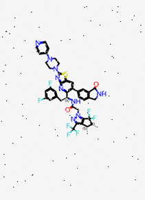 C[C@@H]1c2c(C(F)(F)F)nn(CC(=O)N[C@@H](Cc3cc(F)cc(F)c3)c3nc4nc(N5CCN(c6ccncc6)CC5)sc4cc3-c3ccc4c(c3)C(=O)NC4)c2C(F)(F)[C@@H]1C